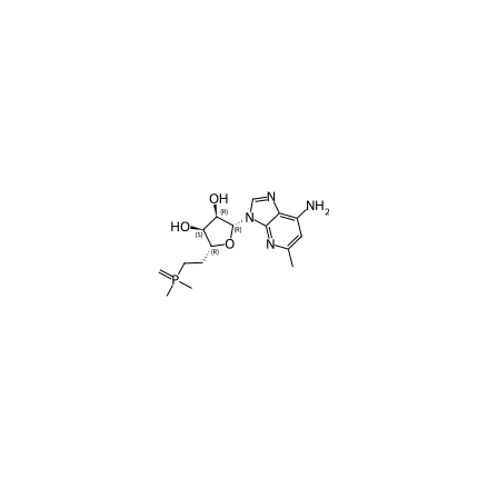 C=P(C)(C)CC[C@H]1O[C@@H](n2cnc3c(N)cc(C)nc32)[C@H](O)[C@@H]1O